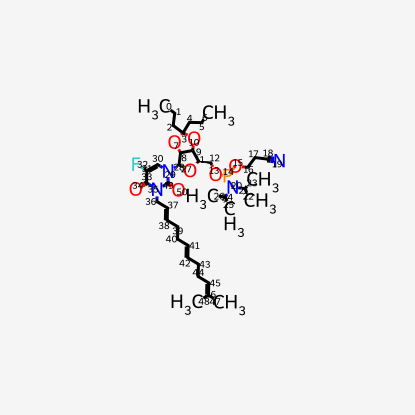 CCCC1(CCC)OC2C(O1)[C@@H](COP(OCCC#N)N(C(C)C)C(C)C)O[C@H]2n1cc(F)c(=O)n(C/C=C/CC/C=C/CCC=C(C)C)c1=O